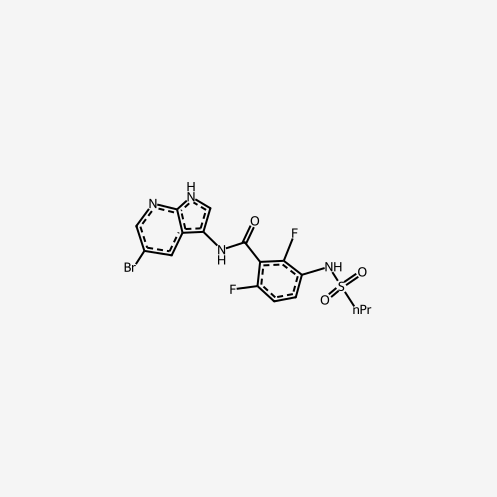 CCCS(=O)(=O)Nc1ccc(F)c(C(=O)Nc2c[nH]c3ncc(Br)cc23)c1F